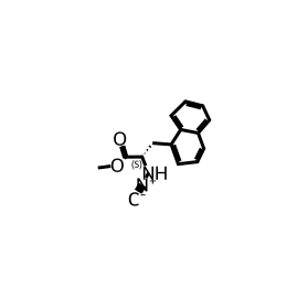 [C-]#[N+]N[C@@H](Cc1cccc2ccccc12)C(=O)OC